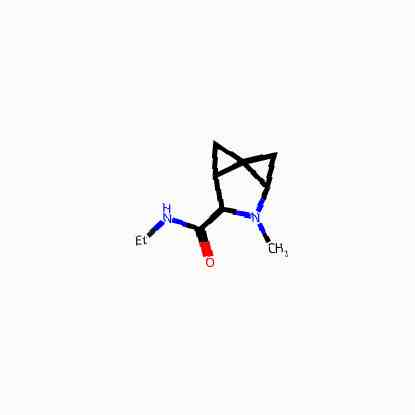 CCNC(=O)C1C2CC23CC3N1C